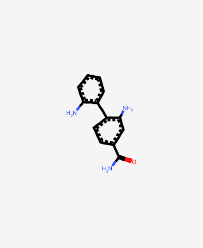 NC(=O)c1ccc(-c2ccccc2N)c(N)c1